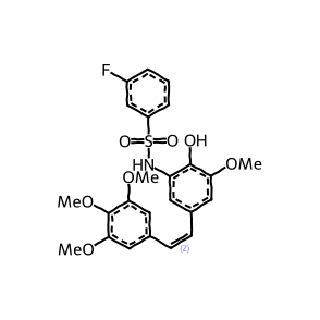 COc1cc(/C=C\c2cc(OC)c(OC)c(OC)c2)cc(NS(=O)(=O)c2cccc(F)c2)c1O